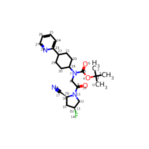 CC(C)(C)OC(=O)N(CC(=O)N1C[C@@H](F)C[C@H]1C#N)C1CCC(c2ccccn2)CC1